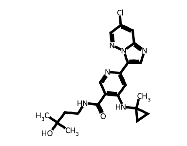 CC(C)(O)CCNC(=O)c1cnc(-c2cnc3cc(Cl)cnn23)cc1NC1(C)CC1